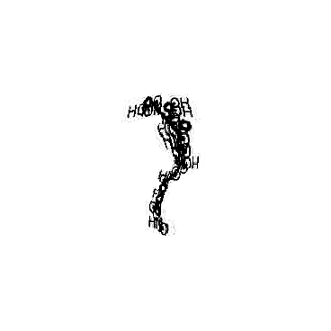 CC(=O)NC[C@H]1CN(c2ccc(N3CCN(C(=O)CNC(=O)OCC4=C(C(=O)O)N5C(=O)[C@@H](NC(=O)C(NC(=O)CN(CCCCNC(=O)c6cccc(O)c6O)C(=O)c6cccc(O)c6O)c6ccccc6)[C@H]5SC4)CC3)c(F)c2)C(=O)O1